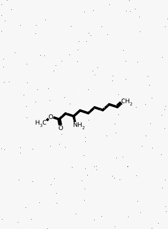 C=CCCCCCC(N)CC(=O)OC